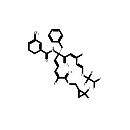 C=C(OCC1CC1(F)F)/C(F)=C\C=C\[C@@](Cc1ccccc1)(NC(=O)C1=CC(C(F)(F)F)=CCC1)C(=C)/C=C(F)\C=C\OC(F)(F)C(F)F